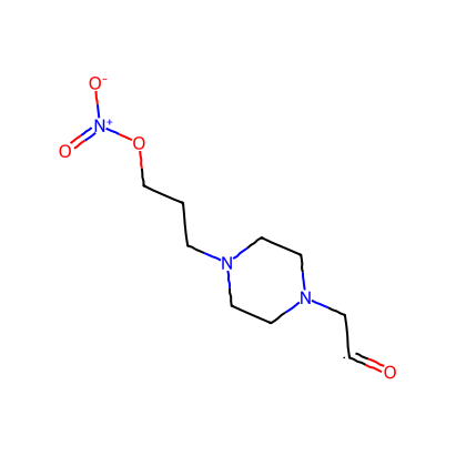 O=[C]CN1CCN(CCCO[N+](=O)[O-])CC1